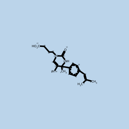 CC(C)=Cc1ccc(C2(C)NC(=O)N(CCCC(=O)O)C=C2C(C)C)cc1